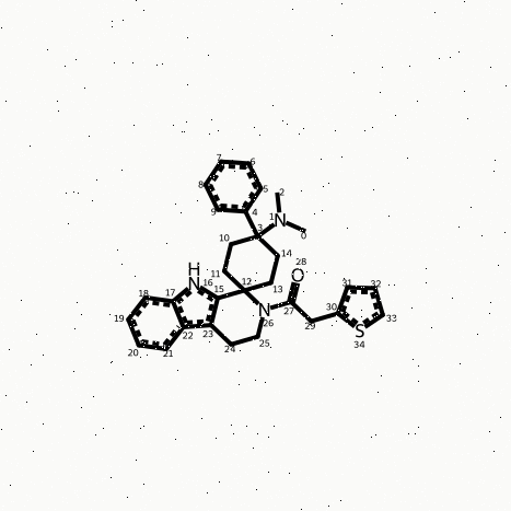 CN(C)C1(c2ccccc2)CCC2(CC1)c1[nH]c3ccccc3c1CCN2C(=O)Cc1cccs1